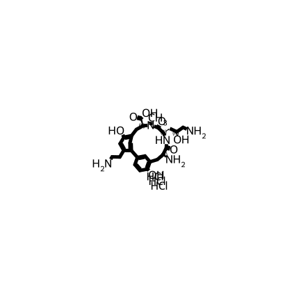 CN1C(=O)[C@H](C[C@@H](O)CN)NC(=O)[C@@H](N)Cc2cc(ccc2O)-c2cc(c(O)cc2CCN)C[C@H]1C(=O)O.Cl.Cl.Cl